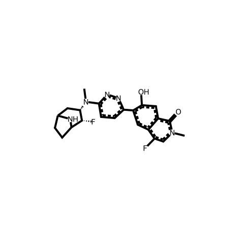 CN(c1ccc(-c2cc3c(F)cn(C)c(=O)c3cc2O)nn1)[C@H]1CC2CCC(N2)[C@H]1F